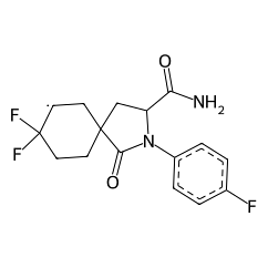 NC(=O)C1CC2(C[CH]C(F)(F)CC2)C(=O)N1c1ccc(F)cc1